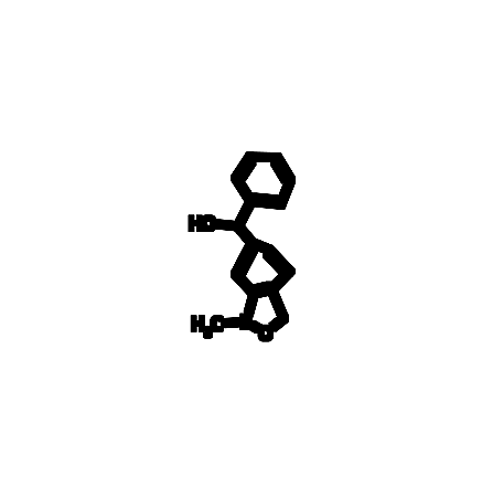 CB1OCc2ccc(C(O)c3ccccc3)cc21